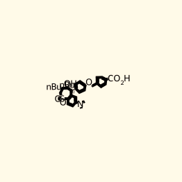 CCCCC1(CCCC)CS(=O)(=O)c2ccc(N(C)C)cc2[C@@H](c2ccc(OCc3ccc(C(=O)O)cc3)cc2)[C@H]1O